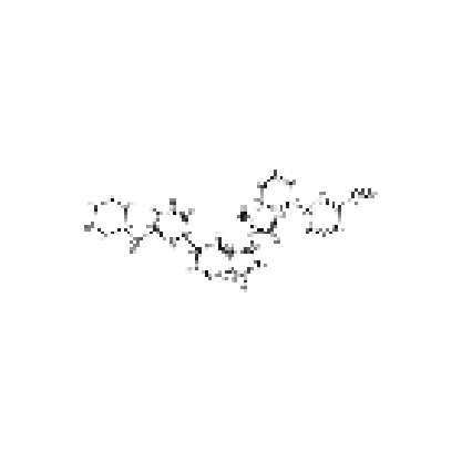 COc1cccc(-c2cccc3[nH]c(-c4n[nH]c5ccc(-c6cncc(OC7CCCCC7)c6)nc45)nc23)c1